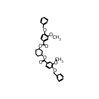 COc1cc(C(=O)OC2CCCC(OC(=O)c3ccc(OCc4ccccc4)c(OC)c3)C2)ccc1OCc1ccccc1